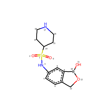 O=S(=O)(Nc1ccc2c(c1)B(O)OC2)C1CCNCC1